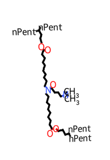 CCCCCC(CCCCC)CCCOC(=O)CCCCCCCCCN(CCCCCCCCCC(=O)OCCCC(CCCCC)CCCCC)C(=O)CCCN(C)C